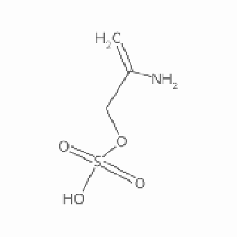 C=C(N)COS(=O)(=O)O